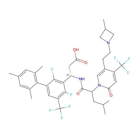 Cc1cc(C)c(-c2cc(C(F)(F)F)c(F)c([C@H](CC(=O)O)NC(=O)C(CC(C)C)n3cc(CCN4CC(C)C4)c(C(F)(F)F)cc3=O)c2F)c(C)c1